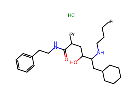 CC(C)CCCNC(CC1CCCCC1)C(O)CC(C(=O)NCCc1ccccc1)C(C)C.Cl